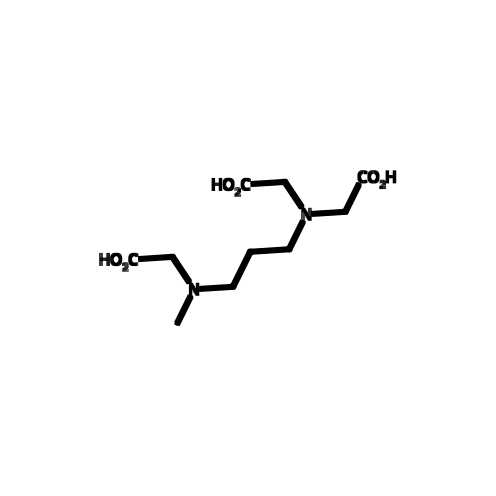 CN(CCCN(CC(=O)O)CC(=O)O)CC(=O)O